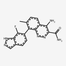 Cc1ccc2c(N)c(C(N)=O)nnc2c1-c1ccc2cn[nH]c2c1F